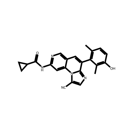 Cc1ccc(O)c(C)c1-c1cc2cnc(NC(=O)C3CC3)cc2n2c(C#N)cnc12